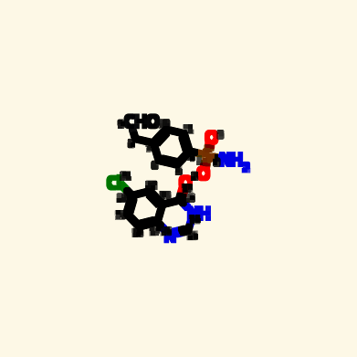 NS(=O)(=O)c1ccc(CC=O)cc1.O=c1[nH]cnc2ccc(Cl)cc12